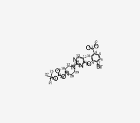 COC(=O)c1ccc(Br)c(Oc2ccnc(N3CCN(OC(=O)OC(C)(C)C)CC3)n2)c1